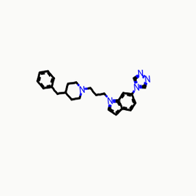 c1ccc(CC2CCN(CCCn3ccc4ccc(-n5cnnc5)cc43)CC2)cc1